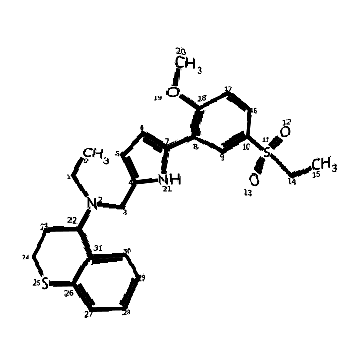 CCN(Cc1ccc(-c2cc(S(=O)(=O)CC)ccc2OC)[nH]1)C1CCSc2ccccc21